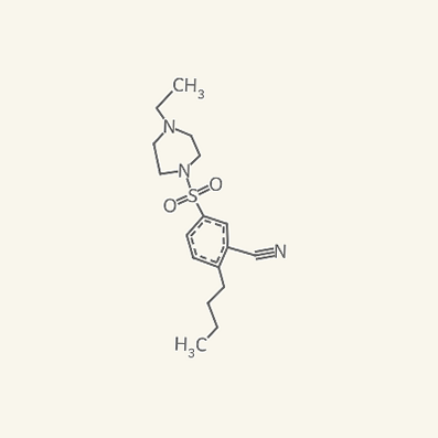 CCCCc1ccc(S(=O)(=O)N2CCN(CC)CC2)cc1C#N